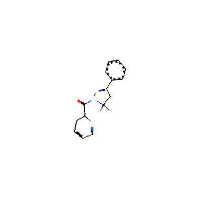 O=C(C1CC=CC=N1)N1N=C(c2ccccc2)CC1(O)C(F)(F)F